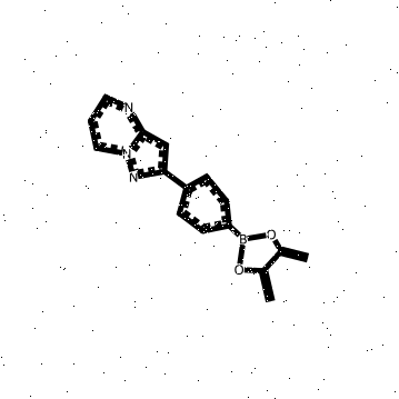 C=C1OB(c2ccc(-c3cc4ncccn4n3)cc2)OC1=C